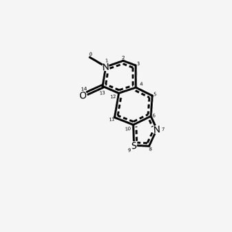 Cn1ccc2cc3ncsc3cc2c1=O